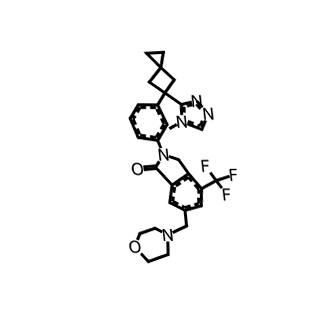 Cn1cnnc1C1(c2cccc(N3Cc4c(cc(CN5CCOCC5)cc4C(F)(F)F)C3=O)c2)CC2(CC2)C1